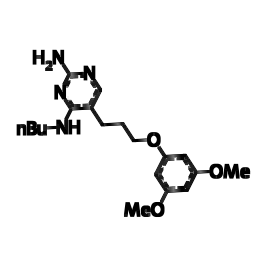 CCCCNc1nc(N)ncc1CCCOc1cc(OC)cc(OC)c1